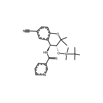 CC1(C)Oc2ccc(C#N)cc2[C@H](NC(=S)c2cccnc2)[C@H]1O[Si](C)(C)C(C)(C)C